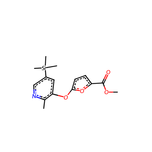 COC(=O)c1ccc(Oc2cc([Si](C)(C)C)cnc2C)o1